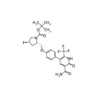 CC(C)(C)OC(=O)N1C[C@H](F)C[C@H]1COc1ccc(-c2cc(C(N)=O)c(=O)[nH]c2C(F)(F)F)cc1